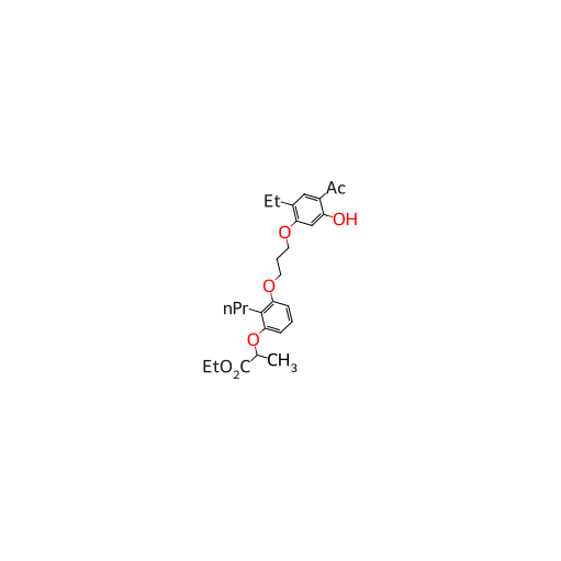 CCCc1c(OCCCOc2cc(O)c(C(C)=O)cc2CC)cccc1OC(C)C(=O)OCC